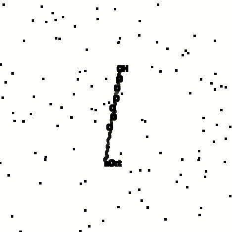 CCCCCCCCC=CCCCCCCCCOCCOCCOCCOCCOCCOCCO